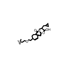 C[Si](C)(C)CCOCCC1C=Cc2ccn(CC(CC3CC3)C(=O)O)c(=O)c2CC1